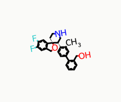 Cc1cc(-c2ccccc2CO)ccc1[C@H]1CNCC[C@@]12OCc1cc(F)c(F)cc12